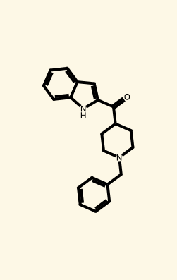 O=C(c1cc2ccccc2[nH]1)C1CCN(Cc2ccccc2)CC1